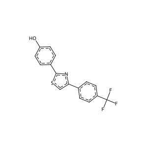 Oc1ccc(-c2nc(-c3ccc(C(F)(F)F)cc3)cs2)cc1